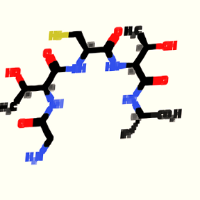 CC(C)[C@H](NC(=O)[C@@H](NC(=O)[C@H](CS)NC(=O)[C@@H](NC(=O)CN)[C@@H](C)O)[C@@H](C)O)C(=O)O